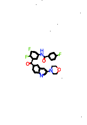 O=C(Nc1cc(F)c(F)c(C(=O)c2ccc3ncc(N4CCOCC4)cc3c2)c1)c1ccc(F)cc1